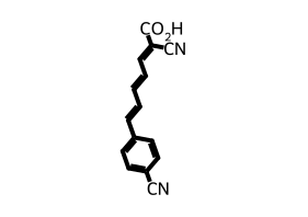 N#C\C(=C/C=C/C=C/c1ccc(C#N)cc1)C(=O)O